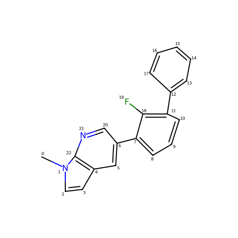 Cn1ccc2cc(-c3cccc(-c4ccccc4)c3F)cnc21